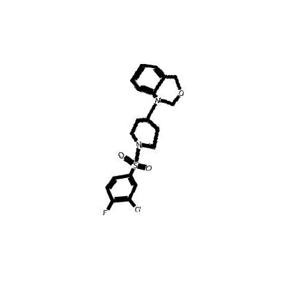 O=S(=O)(c1ccc(F)c(Cl)c1)N1CCC(N2COCc3ccccc32)CC1